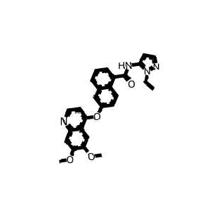 CCn1nccc1NC(=O)c1cccc2cc(Oc3ccnc4cc(OC)c(OC)cc34)ccc12